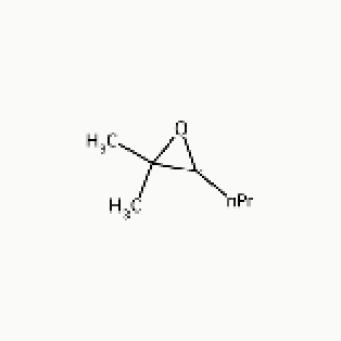 CCC[C]1OC1(C)C